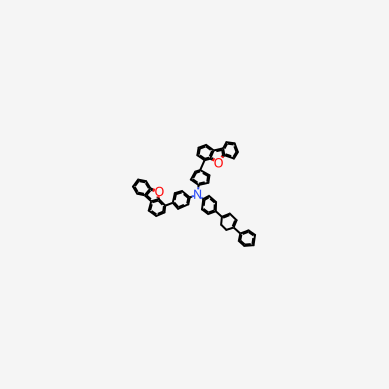 C1=C(c2ccccc2)CCC(c2ccc(N(c3ccc(-c4cccc5c4oc4ccccc45)cc3)c3ccc(-c4cccc5c4oc4ccccc45)cc3)cc2)=C1